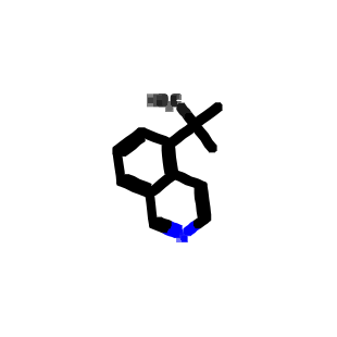 CC(C)(C(=O)O)c1cccc2cnccc12